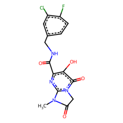 CN1C(=O)Cn2c1nc(C(=O)NCc1ccc(F)c(Cl)c1)c(O)c2=O